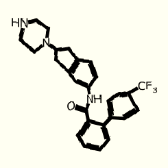 O=C(Nc1ccc2c(c1)CC(N1CCNCC1)C2)c1ccccc1-c1ccc(C(F)(F)F)cc1